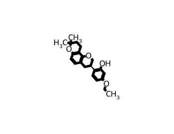 CCOc1ccc([C@@H]2COc3c(ccc4c3CCC(C)(C)O4)C2)c(O)c1